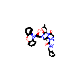 CC(C)C[C@H]1C(=O)N(CC(=O)N2c3ccccc3Oc3ccccc32)C[C@H]2N1C(=O)CN(C)N2C(=O)NCc1ccccc1